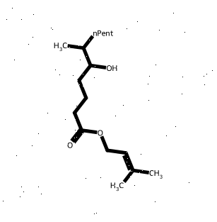 CCCCCC(C)C(O)CCCC(=O)OCC=C(C)C